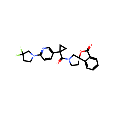 O=C1O[C@]2(CCN(C(=O)C3(c4ccc(N5CCC(F)(F)C5)nc4)CC3)C2)c2ccccc21